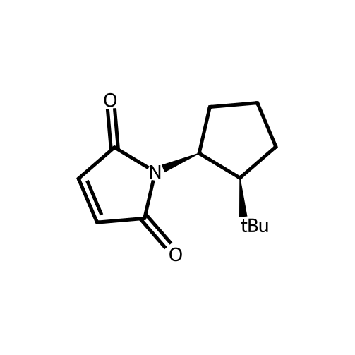 CC(C)(C)[C@@H]1CCC[C@@H]1N1C(=O)C=CC1=O